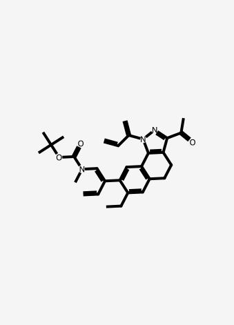 C=CC(=C)n1nc(C(C)=O)c2c1-c1cc(/C(C=C)=C/N(C)C(=O)OC(C)(C)C)c(CC)cc1CC2